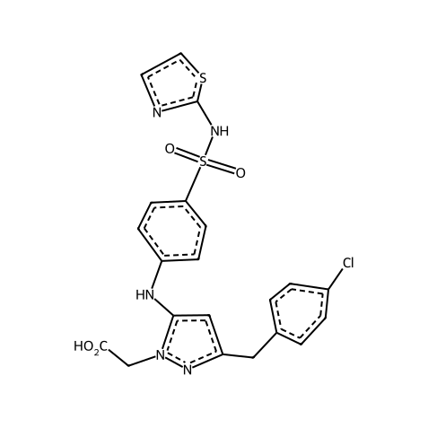 O=C(O)Cn1nc(Cc2ccc(Cl)cc2)cc1Nc1ccc(S(=O)(=O)Nc2nccs2)cc1